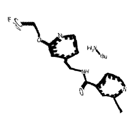 CC(C)(C)N.Cc1cc(C(=O)NCc2ccnc(OCC(F)(F)F)c2)ccn1